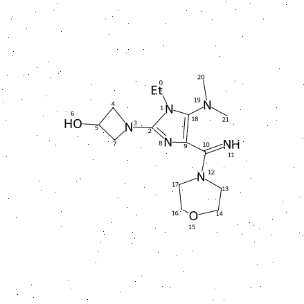 CCn1c(N2CC(O)C2)nc(C(=N)N2CCOCC2)c1N(C)C